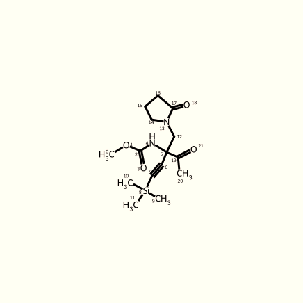 COC(=O)NC(C#C[Si](C)(C)C)(CN1CCCC1=O)C(C)=O